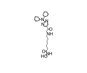 O=C(CCCCCCNCC(=O)c1cnc(N(c2ccccc2)c2ccccc2)nc1)NO